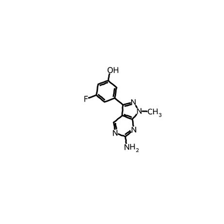 Cn1nc(-c2cc(O)cc(F)c2)c2cnc(N)nc21